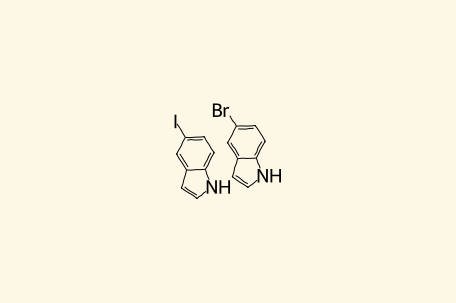 Brc1ccc2[nH]ccc2c1.Ic1ccc2[nH]ccc2c1